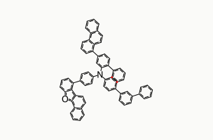 c1ccc(-c2cccc(-c3ccc(N(c4ccc(-c5cccc6oc7c8ccccc8ccc7c56)cc4)c4cc(-c5cccc6c5ccc5ccccc56)ccc4-c4ccccc4)cc3)c2)cc1